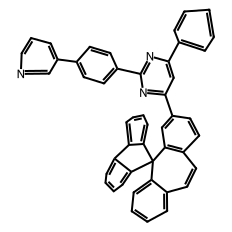 C1=Cc2ccc(-c3cc(-c4ccccc4)nc(-c4ccc(-c5cccnc5)cc4)n3)cc2C2(c3ccccc31)c1ccccc1-c1ccccc12